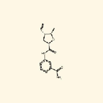 C=C[C@H]1C[C@H](C(=O)Nc2ccnc(C(N)=O)c2)O[C@@H]1C